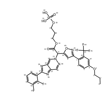 CCCOc1ccc(-c2cc(C(C(=O)OCCCOP(=O)(O)O)n3cc4nc(-c5cccc(F)c5F)nc-4cn3)on2)c(C(F)(F)F)c1